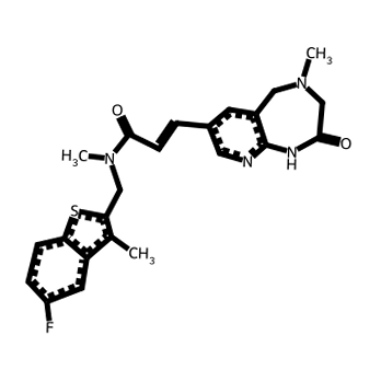 Cc1c(CN(C)C(=O)/C=C/c2cnc3c(c2)CN(C)CC(=O)N3)sc2ccc(F)cc12